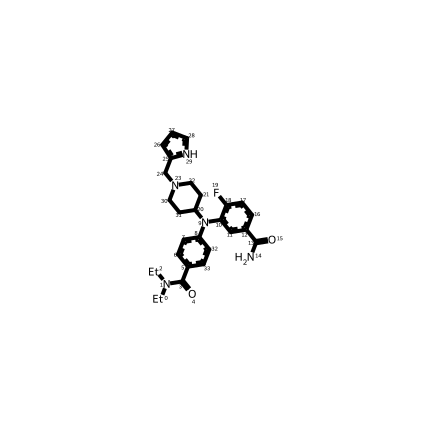 CCN(CC)C(=O)c1ccc(N(c2cc(C(N)=O)ccc2F)C2CCN(Cc3ccc[nH]3)CC2)cc1